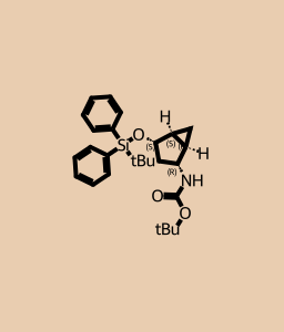 CC(C)(C)OC(=O)N[C@@H]1C[C@H](O[Si](c2ccccc2)(c2ccccc2)C(C)(C)C)[C@H]2C[C@H]21